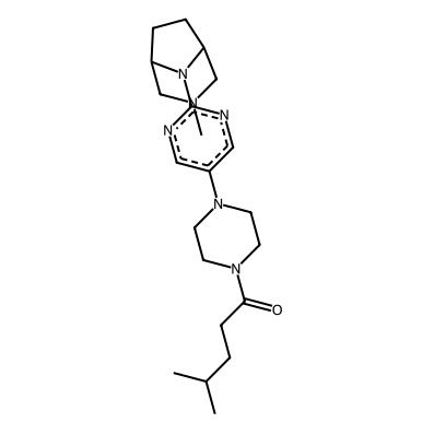 CC(C)CCC(=O)N1CCN(c2cnc(N3C4CCC3CN(C)C4)nc2)CC1